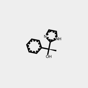 C[C@@](O)(c1ccccc1)c1ncc[nH]1